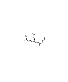 C=CCCC(C)CCC(=CCC(C)C)CCCC(C)C=C